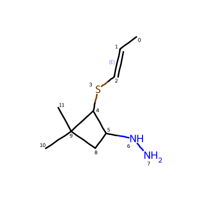 C/C=C/SC1C(NN)CC1(C)C